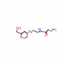 NCCC(=O)NCCCOC1CCOC(CO)C1